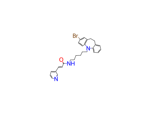 O=C(/C=C/c1cccnc1)NCCCCCCN1c2ccccc2CCc2cc(Br)ccc21